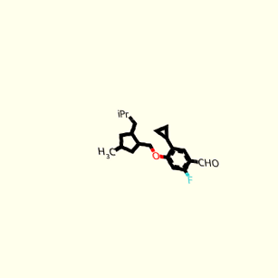 CC(C)CC1CC(C)CC1COc1cc(F)c(C=O)cc1C1CC1